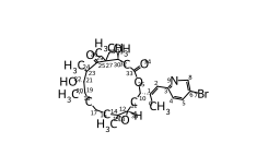 C/C(=C\c1ccc(Br)cn1)[C@@H]1C[C@@H]2O[C@]2(C)CCC[C@H](C)[C@H](O)[C@@H](C)C(=O)C(C)(C)[C@@H](O)CC(=O)O1